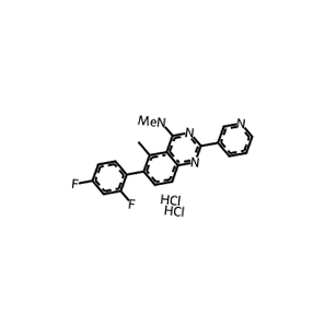 CNc1nc(-c2cccnc2)nc2ccc(-c3ccc(F)cc3F)c(C)c12.Cl.Cl